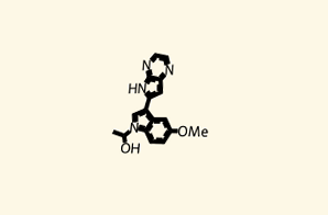 COc1ccc2c(c1)c(-c1cc3nccnc3[nH]1)cn2C(C)O